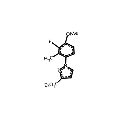 CCOC(=O)c1ccn(-c2ccc(OC)c(F)c2C)n1